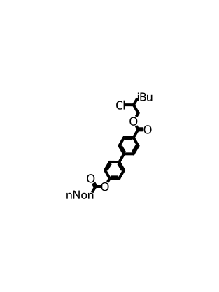 CCCCCCCCCC(=O)Oc1ccc(-c2ccc(C(=O)OCC(Cl)C(C)CC)cc2)cc1